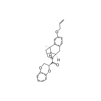 C=CCOc1ccc2c(c1)[C@]1(C)CCN(C(=O)[C@@H]3COc4ccccc4O3)[C@H](C2)[C@@H]1C